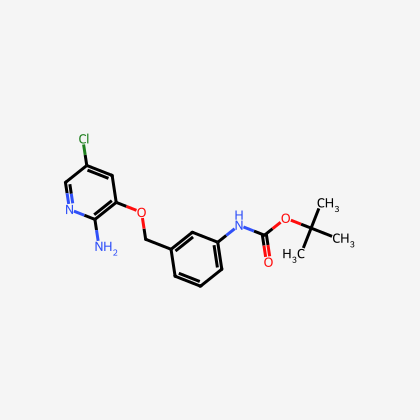 CC(C)(C)OC(=O)Nc1cccc(COc2cc(Cl)cnc2N)c1